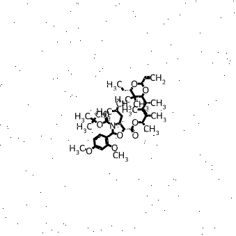 C=CC1OC([C@@H](C)/C(C)=C(\C)C(C)OC(=O)[C@@H]2OC(c3ccc(OC)cc3OC)N(C(=O)OC(C)(C)C)C2CC(C)C)C(C)(C)[C@H](CC)O1